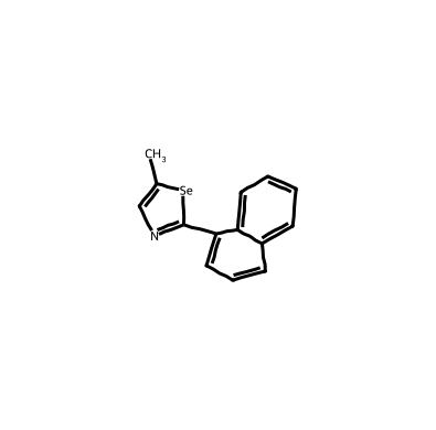 Cc1cnc(-c2cccc3ccccc23)[se]1